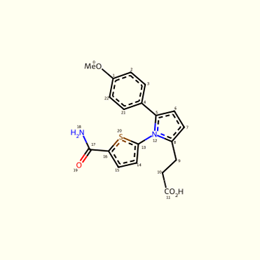 COc1ccc(-c2ccc(CCC(=O)O)n2-c2ccc(C(N)=O)s2)cc1